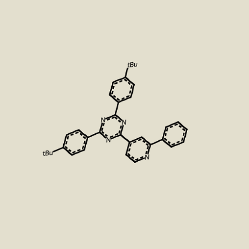 CC(C)(C)c1ccc(-c2nc(-c3ccc(C(C)(C)C)cc3)nc(-c3ccnc(-c4ccccc4)c3)n2)cc1